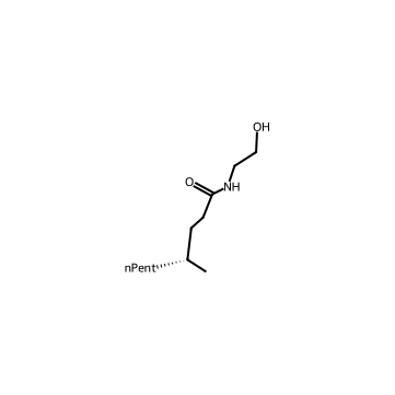 CCCCC[C@@H](C)CCC(=O)NCCO